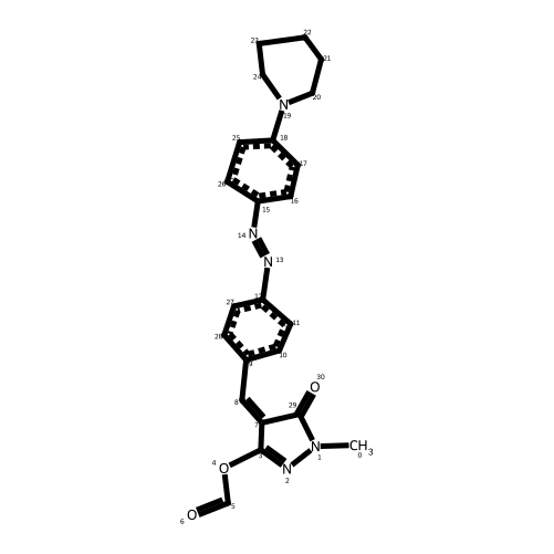 CN1N=C(OC=O)/C(=C/c2ccc(/N=N/c3ccc(N4CCCCC4)cc3)cc2)C1=O